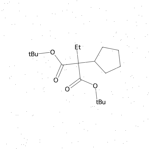 CCC(C(=O)OC(C)(C)C)(C(=O)OC(C)(C)C)C1CCCC1